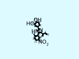 C=CC(=C)c1nc(-c2ccc(O)c(O)c2)[nH]c1-c1cc([N+](=O)[O-])ccc1C